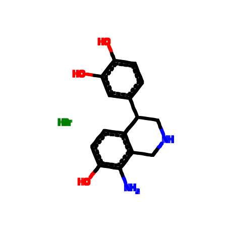 Br.Nc1c(O)ccc2c1CNCC2c1ccc(O)c(O)c1